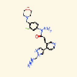 [N-]=[N+]=NCn1cc(-c2ccncc2/C=C/C(=O)N(N)c2ccc(CN3CCOCC3)c(F)c2)cn1